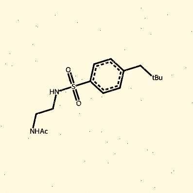 CC(=O)NCCNS(=O)(=O)c1ccc(CC(C)(C)C)cc1